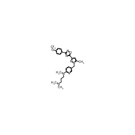 Cc1cc(-c2nc(-c3ccc(OC(F)(F)F)cc3)no2)nn1Cc1ccc(N(C)CCCN(C)C)nc1